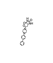 O=C1NC(=O)C(CC(=O)N2CCN(c3ccc(-c4ccccc4)cc3)CC2)N1